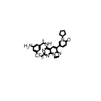 Cc1nc(N[C@H](C)c2cc(N)cc(C(F)(F)F)c2)c2cc(-c3ccc(=O)n(C4CCCC4)c3)c3nccn3c2n1